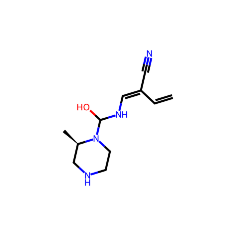 C=C/C(C#N)=C\NC(O)N1CCNC[C@H]1C